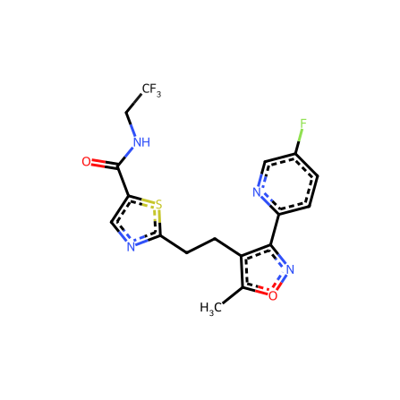 Cc1onc(-c2ccc(F)cn2)c1CCc1ncc(C(=O)NCC(F)(F)F)s1